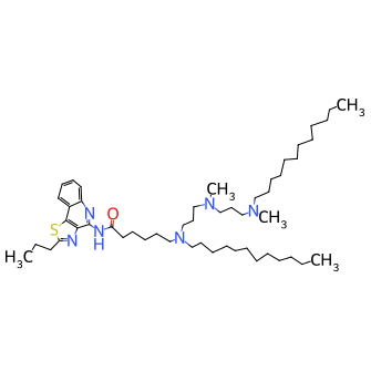 CCCCCCCCCCCCN(C)CCCN(C)CCCN(CCCCCCCCCCCC)CCCCCC(=O)Nc1nc2ccccc2c2sc(CCC)nc12